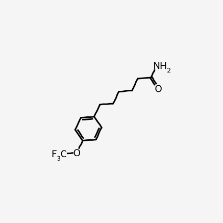 NC(=O)CCCCCc1ccc(OC(F)(F)F)cc1